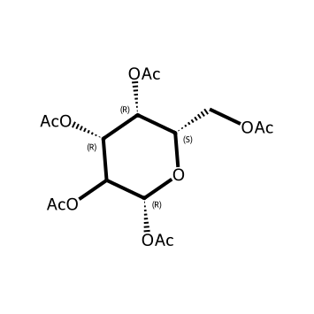 CC(=O)OC[C@@H]1O[C@H](OC(C)=O)C(OC(C)=O)[C@H](OC(C)=O)[C@@H]1OC(C)=O